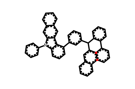 c1ccc(-c2ccccc2C(c2cccc(-c3cccc4c3c3cc5ccccc5cc3n4-c3ccccc3)c2)c2ccc3ccccc3c2)cc1